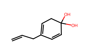 C=CCC1=CCC(O)(O)C=C1